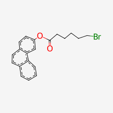 O=C(CCCCCBr)Oc1ccc2ccc3ccccc3c2c1